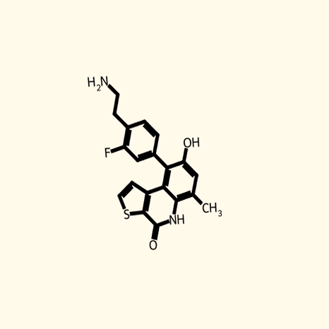 Cc1cc(O)c(-c2ccc(CCN)c(F)c2)c2c1[nH]c(=O)c1sccc12